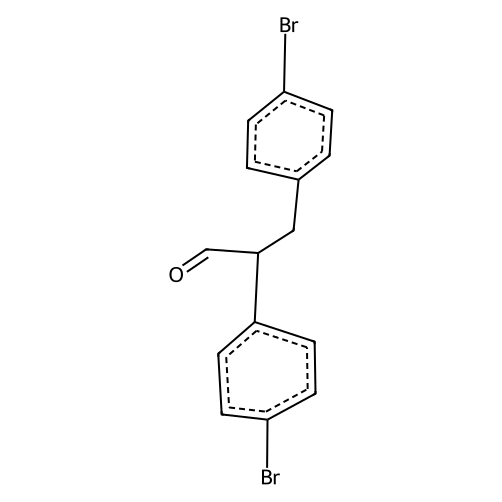 O=CC(Cc1ccc(Br)cc1)c1ccc(Br)cc1